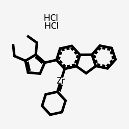 CCC1=CCC(c2ccc3c([c]2[Zr]=[C]2CCCCC2)Cc2ccccc2-3)=C1CC.Cl.Cl